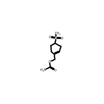 CS(=O)(=O)C1CC=C(COC(N)=O)CC1